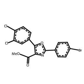 COC(=O)c1nc(-c2ccc(Br)cc2)oc1-c1ccc(Cl)c(Cl)c1